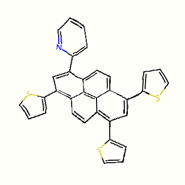 c1ccc(-c2cc(-c3cccs3)c3ccc4c(-c5cccs5)cc(-c5cccs5)c5ccc2c3c54)nc1